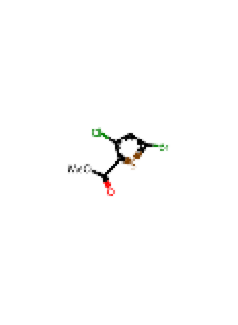 COC(=O)c1sc(Br)cc1Cl